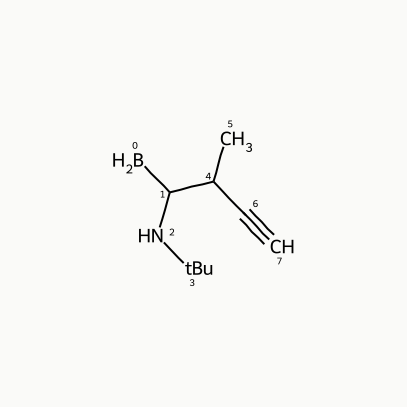 BC(NC(C)(C)C)C(C)C#C